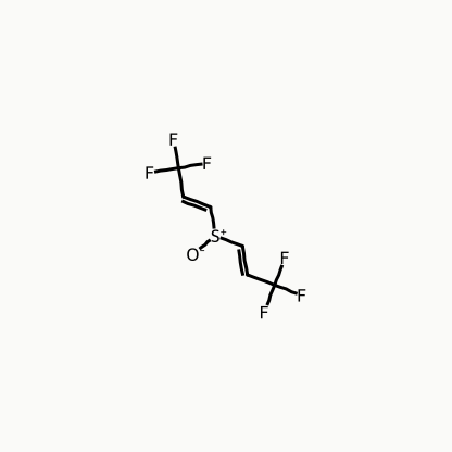 [O-][S+](C=CC(F)(F)F)C=CC(F)(F)F